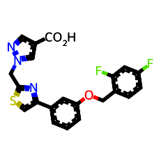 O=C(O)c1cnn(Cc2nc(-c3cccc(OCc4ccc(F)cc4F)c3)cs2)c1